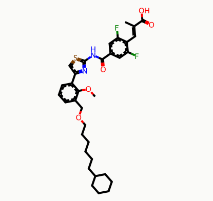 COc1c(COCCCCCCC2CCCCC2)cccc1-c1csc(NC(=O)c2cc(F)c(C=C(C)C(=O)O)c(F)c2)n1